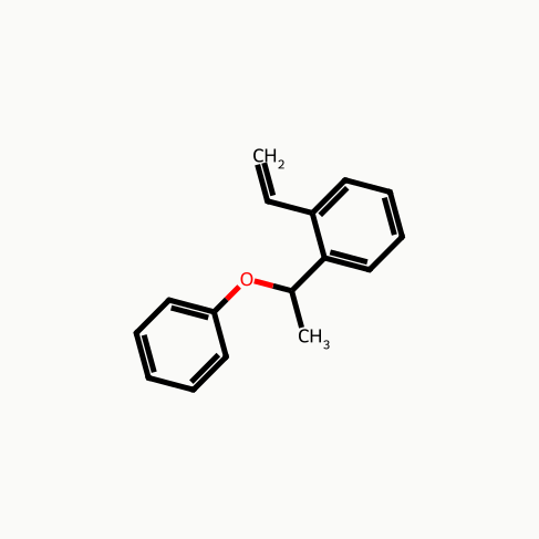 C=Cc1ccccc1C(C)Oc1ccccc1